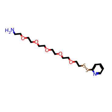 NCCOCCOCCOCCOCCOCCSSc1ccccn1